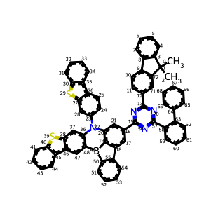 CC1(C)c2ccccc2-c2ccc(-c3nc(-c4cc5c6c(c4)N(c4ccc7c(c4)sc4ccccc47)c4cc7sc8ccccc8c7cc4B6c4ccccc4-5)nc(-c4ccccc4-c4ccccc4)n3)cc21